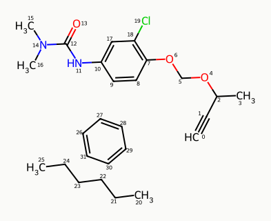 C#CC(C)OCOc1ccc(NC(=O)N(C)C)cc1Cl.CCCCCC.c1ccccc1